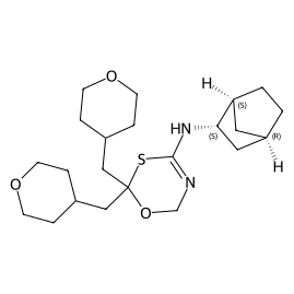 C1CC(CC2(CC3CCOCC3)OCN=C(N[C@H]3C[C@@H]4CC[C@H]3C4)S2)CCO1